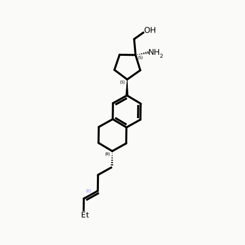 CC/C=C/CC[C@@H]1CCc2cc([C@H]3CC[C@@](N)(CO)C3)ccc2C1